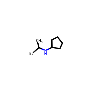 CCC(C)NC1CCCC1